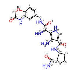 N=C(C(=O)NCc1ccc2c(c1)NC(=O)CO2)c1[nH]cc(C(=O)NC2CCC[C@H]2C(N)=O)c1N